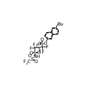 CCC(C)c1ccc2cc(OS(=O)(=O)C(F)(F)C(F)(F)C(F)(F)S(=O)(=O)NS(=O)(=O)C(F)(F)F)ccc2c1